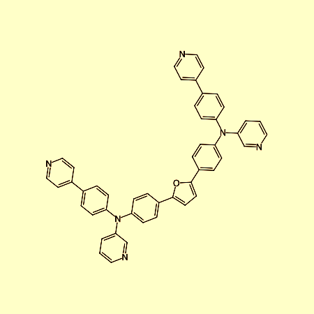 c1cncc(N(c2ccc(-c3ccncc3)cc2)c2ccc(-c3ccc(-c4ccc(N(c5ccc(-c6ccncc6)cc5)c5cccnc5)cc4)o3)cc2)c1